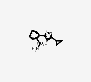 NCc1ccccc1-c1noc(C2CC2)c1C(=O)O